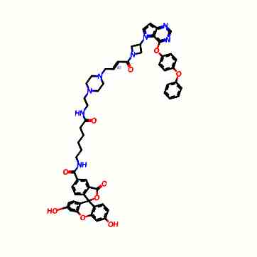 O=C(CCCCCNC(=O)c1ccc2c(c1)C(=O)OC21c2ccc(O)cc2Oc2cc(O)ccc21)NCCN1CCN(C/C=C/C(=O)N2CC(n3ccc4ncnc(Oc5ccc(Oc6ccccc6)cc5)c43)C2)CC1